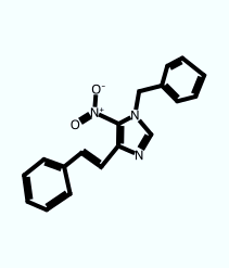 O=[N+]([O-])c1c(C=Cc2ccccc2)ncn1Cc1ccccc1